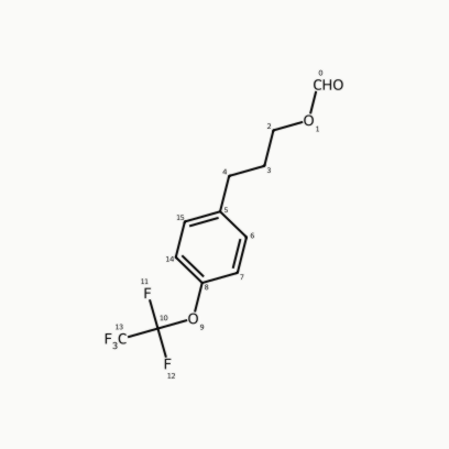 O=COCCCc1ccc(OC(F)(F)C(F)(F)F)cc1